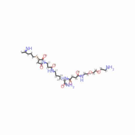 CC(=N)CCCSC1CC(=O)N(CCC(=O)NCCCC[C@H](NC(=O)CCC(=O)NCCOCCOCCN)C(N)=O)C1=O